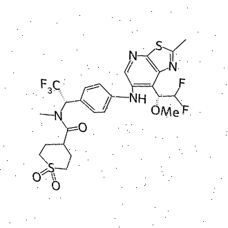 CO[C@H](c1c(Nc2ccc([C@H](N(C)C(=O)C3CCS(=O)(=O)CC3)C(F)(F)F)cc2)cnc2sc(C)nc12)C(F)F